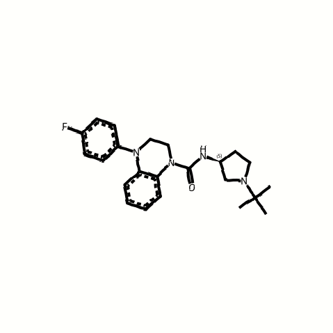 CC(C)(C)N1CC[C@H](NC(=O)N2CCN(c3ccc(F)cc3)c3ccccc32)C1